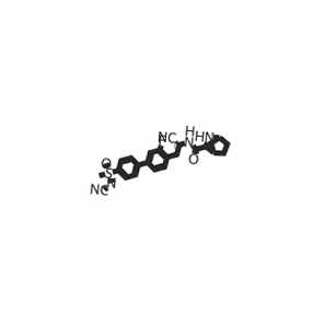 CS(=O)(=NC#N)c1ccc(-c2ccc(C[C@@H](C#N)NC(=O)C3NC4CCC3C4)c(F)c2)cc1